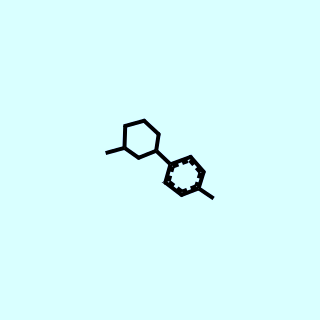 Cc1c[c]c(C2CCCC(C)C2)cc1